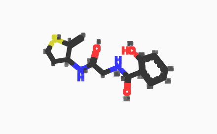 C=C1SCCC1NC(=O)CNC(=O)c1ccccc1O